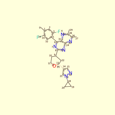 Cc1cc(F)c(-c2nc(C3CCO[C@@H](c4cnn(C5CC5)c4)C3)nc3nc(C)c(C)nc23)cc1F